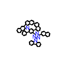 c1ccc(-c2cc(-c3nc(-c4ccc5ccccc5c4)nc(-n4c5ccccc5c5ccccc54)n3)c(-c3cccc4ccccc34)cc2-n2c3cc4ccccc4cc3c3ccc4ccccc4c32)cc1